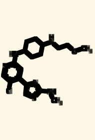 CNc1nc(-c2cc(NC3CCC(NCCOC)CC3)ncc2Cl)cs1